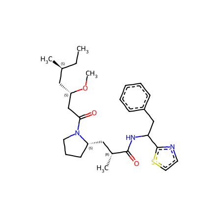 CC[C@H](C)C[C@@H](CC(=O)N1CCC[C@H]1C[C@@H](C)C(=O)NC(Cc1ccccc1)c1nccs1)OC